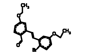 CCOc1ccc(Br)c(C=Cc2cc(OCC)ccc2C=O)c1